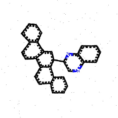 c1ccc2c(c1)ccc1c2cc(-c2cnc3ccccc3n2)c2c3ccccc3ccc12